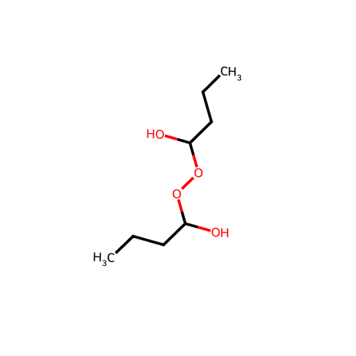 CCCC(O)OOC(O)CCC